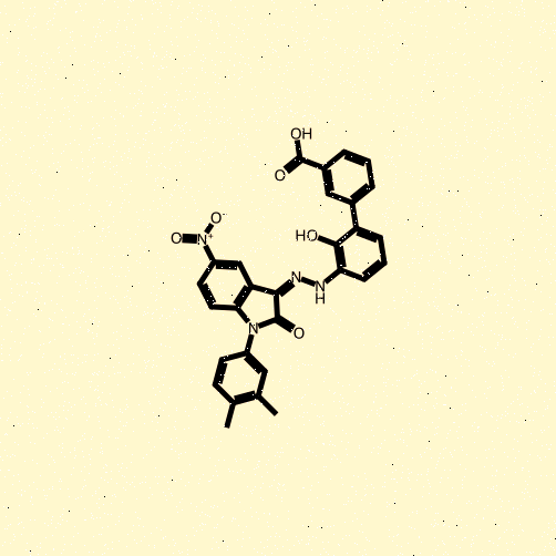 Cc1ccc(N2C(=O)C(=NNc3cccc(-c4cccc(C(=O)O)c4)c3O)c3cc([N+](=O)[O-])ccc32)cc1C